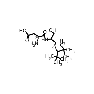 CC(C)(C)C(OCC(CO)NC(=O)[C@@H](N)CC(=O)O)C(C)(C)C